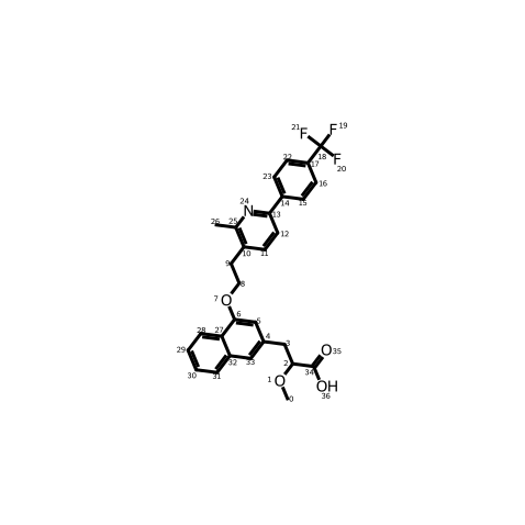 COC(Cc1cc(OCCc2ccc(-c3ccc(C(F)(F)F)cc3)nc2C)c2ccccc2c1)C(=O)O